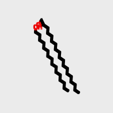 CCCCCCCCCCCCCCCCCC1CO1.CCCCCCCCCCCCCCCCO